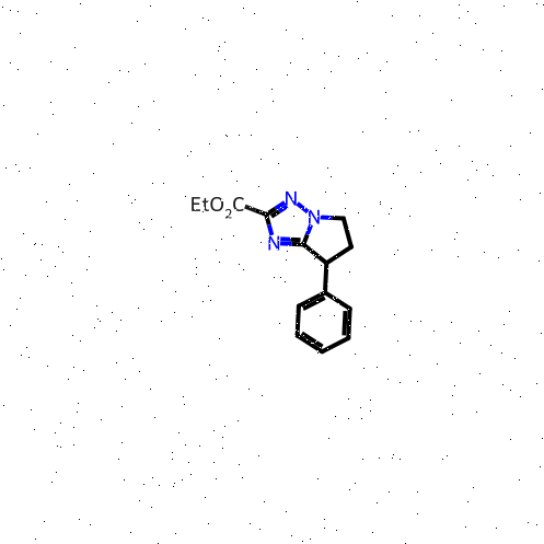 CCOC(=O)c1nc2n(n1)CCC2c1ccccc1